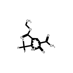 CCOC(=O)c1cc(C(C)=O)c(=O)[nH]c1C(F)(F)F